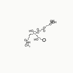 CCNC(=O)CCC/C=C\C[C@@H]1[C@@H](/C=C/[C@@H](O)CCc2ccccc2)[C@H](OC(=O)CCC(=O)OCCCCON(O)O)C[C@@H]1O